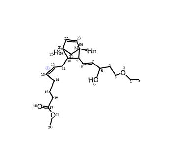 CCOCCC(O)C=CC1C(C/C=C\CCCC(=O)OC)[C@H]2C=C[C@H]1C2